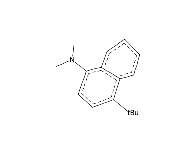 CN(C)c1ccc(C(C)(C)C)c2ccccc12